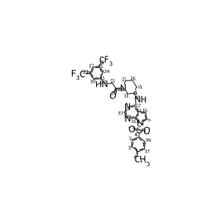 Cc1ccc(S(=O)(=O)n2ccc3c(NC4CCCN(C(=O)CNc5cc(C(F)(F)F)cc(C(F)(F)F)c5)C4)ncnc32)cc1